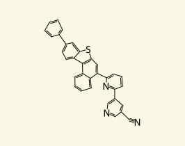 N#Cc1cncc(-c2cccc(-c3cc4sc5cc(-c6ccccc6)ccc5c4c4ccccc34)n2)c1